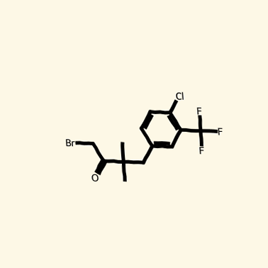 CC(C)(Cc1ccc(Cl)c(C(F)(F)F)c1)C(=O)CBr